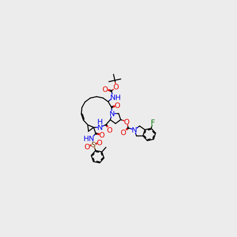 Cc1ccccc1S(=O)(=O)NC(=O)C12CC1/C=C\CCCCCC(NC(=O)OC(C)(C)C)C(=O)N1CC(OC(=O)N3Cc4cccc(F)c4C3)CC1C(=O)N2